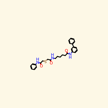 O=C(CSCC(=O)Nc1ccccc1)NCCCCCC(=O)Nc1cccc(-c2ccccc2)c1